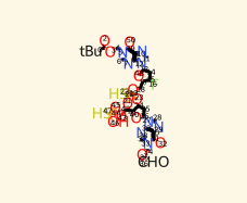 CC(C)(C)C(=O)OCn1cnc2c(ncn2C2CC(F)C(COP(=O)(S)O[C@H]3CC(n4cnc5c(=O)n(COC=O)cnc54)OC3COP(=O)(O)S)O2)c1=O